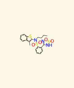 CCCCN(c1sc2ccccc2c1C)S(=O)(=O)c1ccccc1C1=NOS(=O)N1